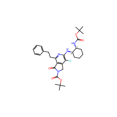 CC(C)(C)OC(=O)N[C@H]1CCCC[C@H]1Nc1nc(CCc2ccccc2)c2c(c1F)CN(C(=O)OC(C)(C)C)C2=O